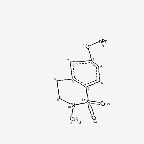 CCCOc1ccc2c(c1)CCN(C)S2(=O)=O